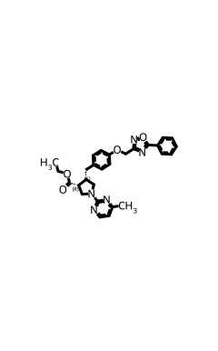 CCOC(=O)[C@H]1CN(c2nccc(C)n2)C[C@H]1Cc1ccc(OCc2noc(-c3ccccc3)n2)cc1